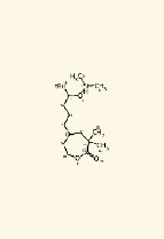 C[SiH](C)OC(CCCC1CCOC(=O)C(C)(C)C1)C(C)(C)C